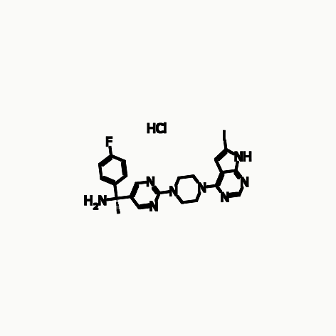 C[C@](N)(c1ccc(F)cc1)c1cnc(N2CCN(c3ncnc4[nH]c(I)cc34)CC2)nc1.Cl